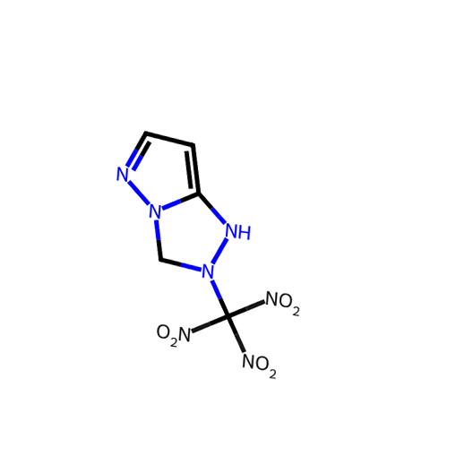 O=[N+]([O-])C(N1Cn2nccc2N1)([N+](=O)[O-])[N+](=O)[O-]